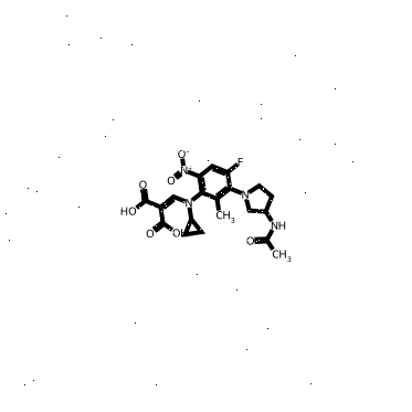 CC(=O)NC1CCN(c2c(F)cc([N+](=O)[O-])c(N(C=C(C(=O)O)C(=O)O)C3CC3)c2C)C1